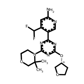 CC1(C)COCCN1c1nc(O[C@@H]2CCOC2)nc(-c2cnc(N)cc2C(F)F)n1